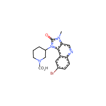 Cn1c(=O)n(C2CCCN(C(=O)O)C2)c2c3cc(Br)ccc3ncc21